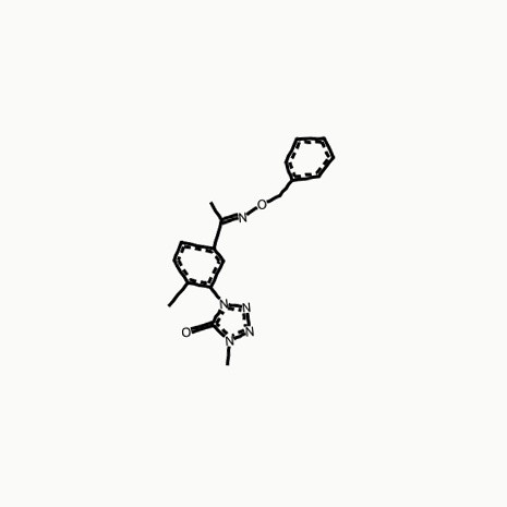 C/C(=N\OCc1ccccc1)c1ccc(C)c(-n2nnn(C)c2=O)c1